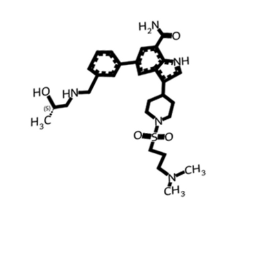 C[C@H](O)CNCc1cccc(-c2cc(C(N)=O)c3[nH]cc(C4CCN(S(=O)(=O)CCCN(C)C)CC4)c3c2)c1